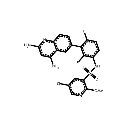 COc1ncc(Cl)cc1S(=O)(=O)Nc1ccc(F)c(-c2ccc3nc(N)cc(N)c3c2)c1F